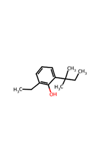 CCc1cccc(C(C)(C)CC)c1O